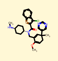 CN[C@H]1CC[C@H](N(CC2=CC(C)(c3cncnc3)CC=C2OC)C(=O)c2sc3ccccc3c2Cl)CC1